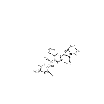 CCC[C@H](C)Oc1cc(-n2nc3n(c2=O)CCCC3)c(F)cc1C(=O)Nc1cnc(OC)cc1C